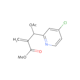 C=C(C(=O)OC)C(OC(C)=O)c1cc(Cl)ccn1